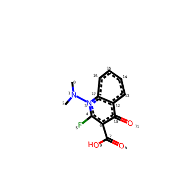 CN(C)n1c(F)c(C(=O)O)c(=O)c2ccccc21